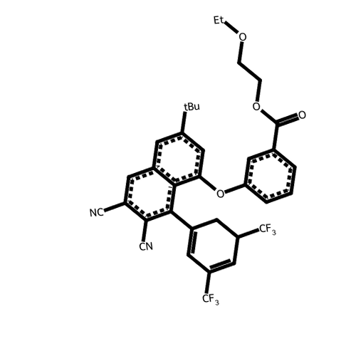 CCOCCOC(=O)c1cccc(Oc2cc(C(C)(C)C)cc3cc(C#N)c(C#N)c(C4=CC(C(F)(F)F)=CC(C(F)(F)F)C4)c23)c1